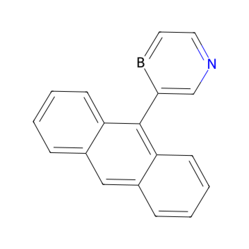 b1ccncc1-c1c2ccccc2cc2ccccc12